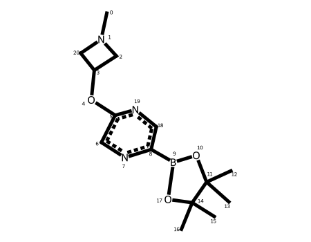 CN1CC(Oc2cnc(B3OC(C)(C)C(C)(C)O3)cn2)C1